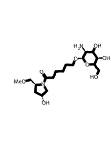 COC[C@@H]1C[C@@H](O)CN1C(=O)CCCCCO[C@@H]1OC(CO)[C@H](O)C(O)[C@@H]1N